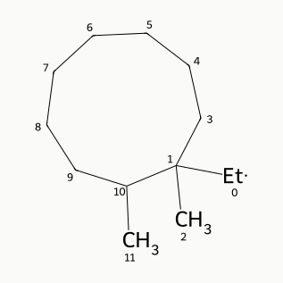 C[CH]C1(C)CCCCCCCC1C